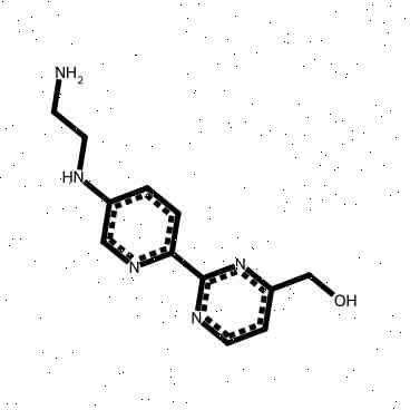 NCCNc1ccc(-c2nccc(CO)n2)nc1